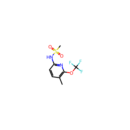 Cc1ccc(NS(C)(=O)=O)nc1OC(F)(F)F